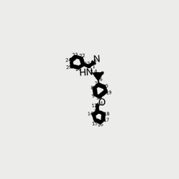 N#CC(N[C@@H]1C[C@H]1c1ccc(OCc2ccccc2)cc1)c1ccccc1